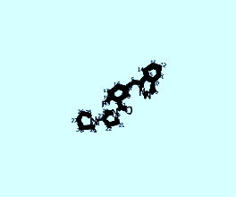 O=C(c1cc(Cc2nncc3ccccc23)ccc1F)N1CC[C@@H](N2CCCCC2)C1